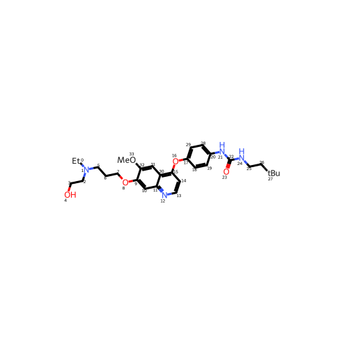 CCN(CCO)CCCOc1cc2nccc(Oc3ccc(NC(=O)NCCC(C)(C)C)cc3)c2cc1OC